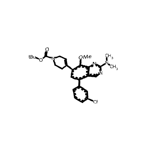 COc1c(C2=CCN(C(=O)OC(C)(C)C)CC2)cc(-c2cccc(Cl)c2)c2cnc(N(C)C)nc12